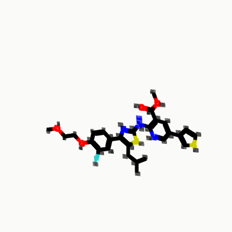 COCCOc1ccc(-c2nc(Nc3ncc(-c4ccsc4)cc3C(=O)OC)sc2CC(C)C)cc1F